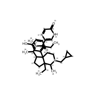 CCc1ccc(O)cc1C12CCN(CC3CC3)C(C)C1(CC)CCC2C(C)N(C)C(=O)c1c[nH]c(=O)cn1